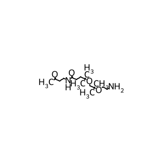 CC(=O)CCNC(=O)CCC(C)(C)OCC(C)(C)OCCN